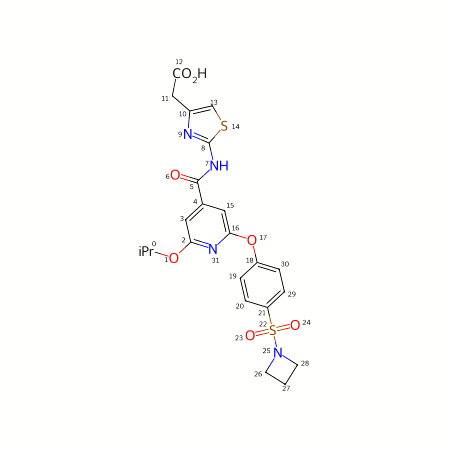 CC(C)Oc1cc(C(=O)Nc2nc(CC(=O)O)cs2)cc(Oc2ccc(S(=O)(=O)N3CCC3)cc2)n1